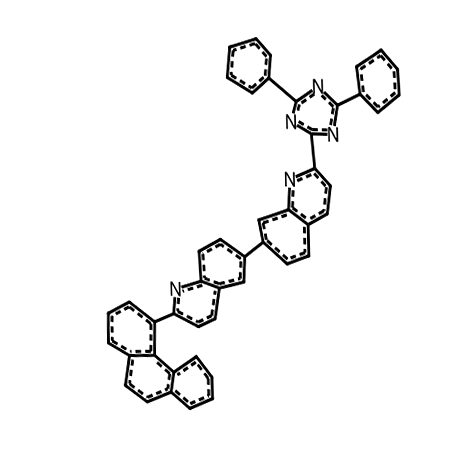 c1ccc(-c2nc(-c3ccccc3)nc(-c3ccc4ccc(-c5ccc6nc(-c7cccc8ccc9ccccc9c78)ccc6c5)cc4n3)n2)cc1